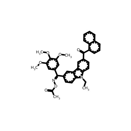 CCn1c2ccc(C(=O)c3cccc4ccccc34)cc2c2cc(/C(=N\OC(C)=O)c3cc(OC)c(OC)c(OC)c3)ccc21